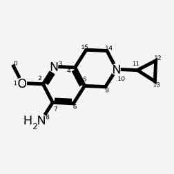 COc1nc2c(cc1N)CN(C1CC1)CC2